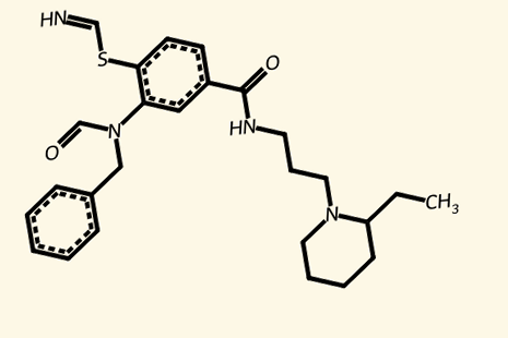 CCC1CCCCN1CCCNC(=O)c1ccc(SC=N)c(N(C=O)Cc2ccccc2)c1